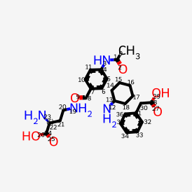 CC(=O)Nc1ccc(C=O)cc1.NC1CCCCC1.NCC[C@H](N)C(=O)O.O=C(O)Cc1ccccc1